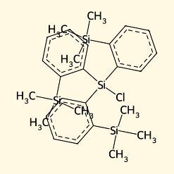 C[Si](C)(C)c1ccccc1[Si](Cl)(c1ccccc1[Si](C)(C)C)c1ccccc1[Si](C)(C)C